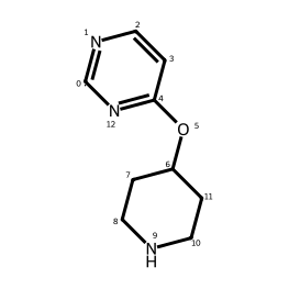 [c]1nccc(OC2CCNCC2)n1